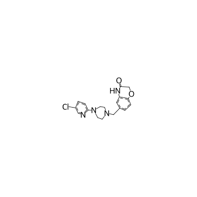 O=C1COc2ccc(CN3CCN(c4ccc(Cl)cn4)CC3)cc2N1